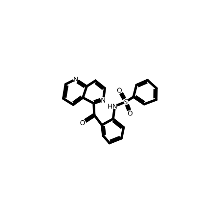 O=C(c1ccccc1NS(=O)(=O)c1ccccc1)c1nccc2ncccc12